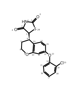 O=C1NC(=O)C([C@@H]2CCOc3cc(Oc4ccccc4Cl)ccc32)S1